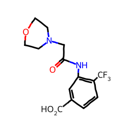 O=C(CN1CCOCC1)Nc1cc(C(=O)O)ccc1C(F)(F)F